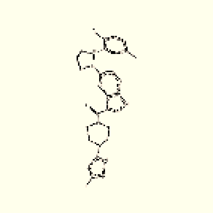 Cc1nnc(C2CCN(C(=O)c3cnn4ccc(N5CCC[C@@H]5c5cc(F)ccc5F)cc34)CC2)o1